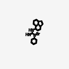 N=C(Nc1ccc2c3c(cccc13)C=C2)N(Br)c1ccccc1